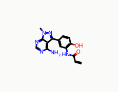 C=CC(=O)Nc1cc(-c2nn(C)c3ncnc(N)c23)ccc1O